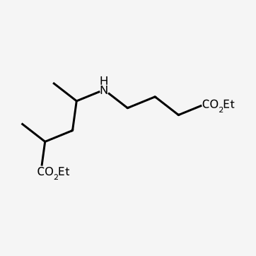 CCOC(=O)CCCNC(C)CC(C)C(=O)OCC